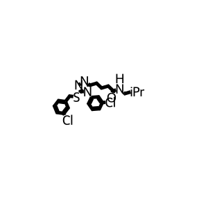 CC(C)CNC(=O)CCCc1nnc(SCc2cccc(Cl)c2)n1-c1cccc(Cl)c1